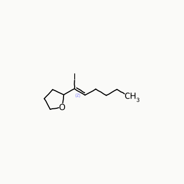 CCCC/C=C(\I)C1CCCO1